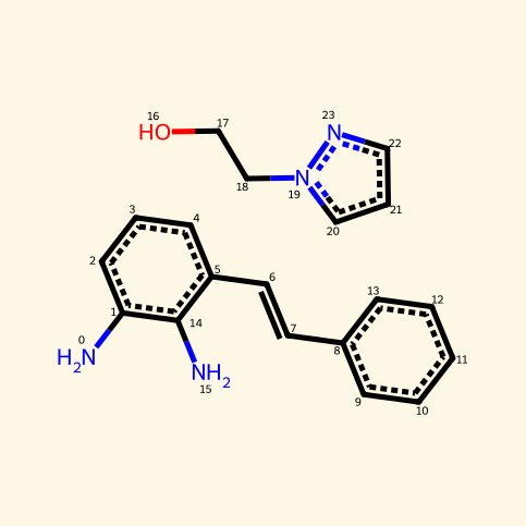 Nc1cccc(C=Cc2ccccc2)c1N.OCCn1cccn1